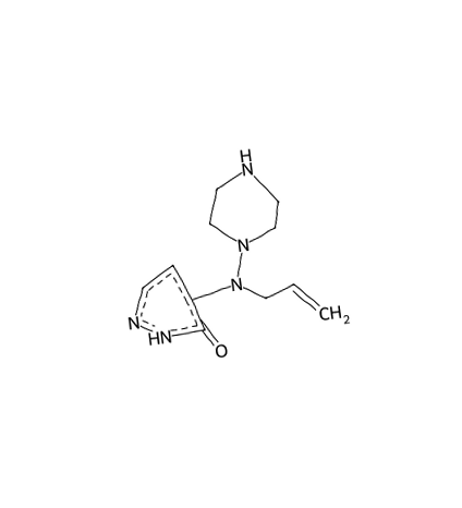 C=CCN(c1ccn[nH]c1=O)N1CCNCC1